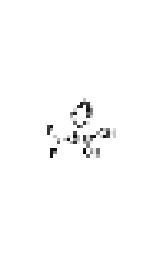 FC(F)Oc1cc2cc-2c1.OBO